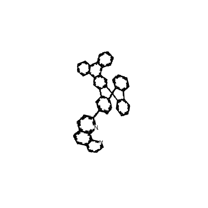 c1ccc2c(c1)-c1ccccc1C21c2ccc(-c3ccc4ccc5cccnc5c4n3)cc2-c2cc3c4ccccc4c4ccccc4c3cc21